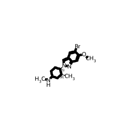 CNC1CC[C@H](n2cc3cc(Br)c(OC)cc3n2)[C@H](C)C1